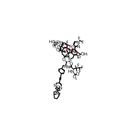 COC(=O)N[C@H](C(=O)N[C@@H](Cc1ccc(C#Cc2cnc(N3CC4CCC(C3)N4C3COC3)nc2)cc1)[C@H](CN(Cc1c(F)cc(-c2ccn(C(F)F)n2)cc1F)NC(=O)[C@@H](NC(=O)OC)C(C)(C)C(F)(F)F)OC(=O)CC(C)(C)c1c(CC(=O)NCC(=O)O)cccc1OP(=O)(O)O)C(C)(C)C(F)(F)F